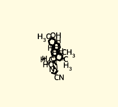 C[C@H]1[C@H]2[C@@H]3CC[C@@H]4C[C@](C)(O)CC[C@@H]4[C@H]3CC[C@]2(C)C([C@@](C)(O)Cn2cc(C#N)cn2)C[C@@H]1C